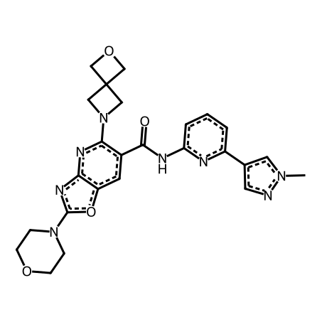 Cn1cc(-c2cccc(NC(=O)c3cc4oc(N5CCOCC5)nc4nc3N3CC4(COC4)C3)n2)cn1